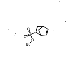 CCOS(=O)(=O)C1CC2C=CC1C2